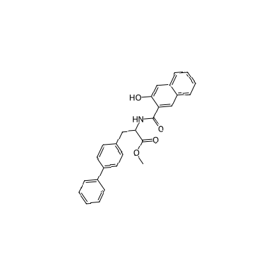 COC(=O)C(Cc1ccc(-c2ccccc2)cc1)NC(=O)c1cc2ccccc2cc1O